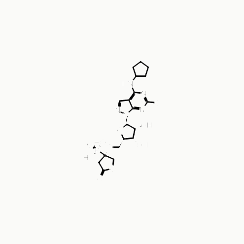 O=C1C[C@@](OC[C@H]2O[C@@H](n3ncc4c(NC5CCCC5)nc(Cl)nc43)[C@H](O)[C@@H]2O)(P(=O)(O)O)CO1